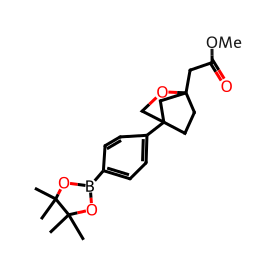 COC(=O)CC12CCC(c3ccc(B4OC(C)(C)C(C)(C)O4)cc3)(CO1)C2